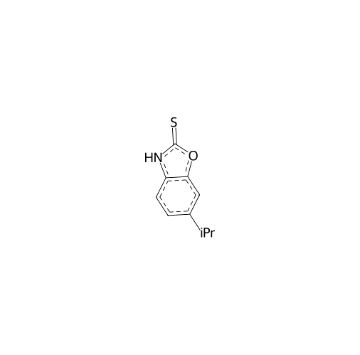 CC(C)c1ccc2[nH]c(=S)oc2c1